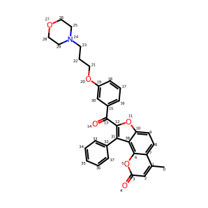 Cc1cc(=O)oc2c1ccc1oc(C(=O)c3cccc(OCCCN4CCOCC4)c3)c(-c3ccccc3)c12